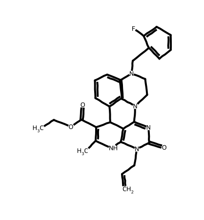 C=CCn1c2c(c(N3CCN(Cc4ccccc4F)CC3)nc1=O)C(c1ccccc1)C(C(=O)OCC)=C(C)N2